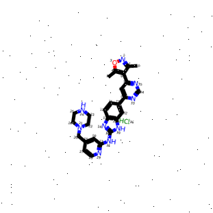 Cc1noc(C)c1-c1cc(-c2ccc3nc(Nc4cc(CN5CCNCC5)ccn4)[nH]c3c2)ncn1.Cl